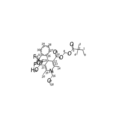 CCC(C)(C)C(=O)OCOC(=O)C1=C(C)N(COC)C(C)=C(C(=O)O)C1c1ccccc1C(F)(F)F